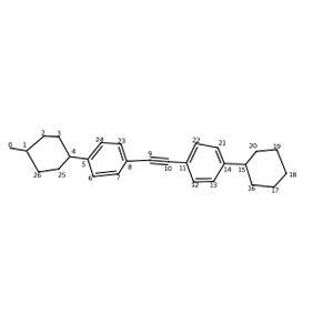 CC1CCC(c2ccc(C#Cc3ccc(C4CCCCC4)cc3)cc2)CC1